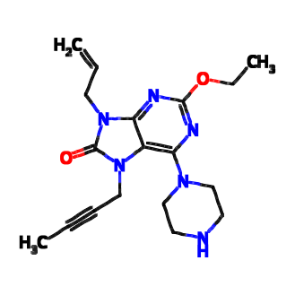 C=CCn1c(=O)n(CC#CC)c2c(N3CCNCC3)nc(OCC)nc21